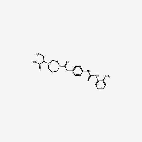 CCC(C(=O)O)N1CCCN(C(=O)Cc2ccc(NC(=O)Nc3ccccc3C)cc2)CC1